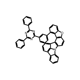 c1ccc(-c2nc(-c3ccccc3)nc(-c3cccc(-c4cccc5oc6ccc7c(c8cccc9c%10ccccc%10n7c98)c6c45)c3)n2)cc1